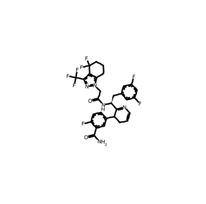 NC(=O)c1cc(C2CC=CN=C2[C@H](Cc2cc(F)cc(F)c2)NC(=O)Cn2nc(C(F)(F)F)c3c2CCCC3(F)F)ccc1F